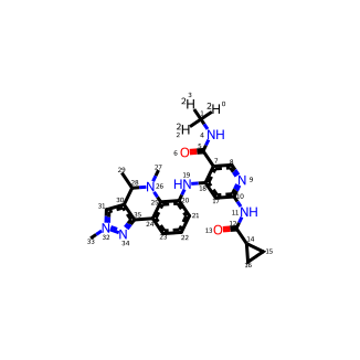 [2H]C([2H])([2H])NC(=O)c1cnc(NC(=O)C2CC2)cc1Nc1cccc2c1N(C)C(C)c1cn(C)nc1-2